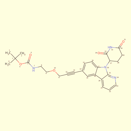 CC(C)(C)OC(=O)NCCOCC#Cc1ccc2c(c1)c1cccnc1n2C1CCC(=O)NC1=O